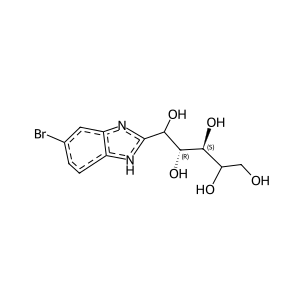 OCC(O)[C@H](O)[C@H](O)C(O)c1nc2cc(Br)ccc2[nH]1